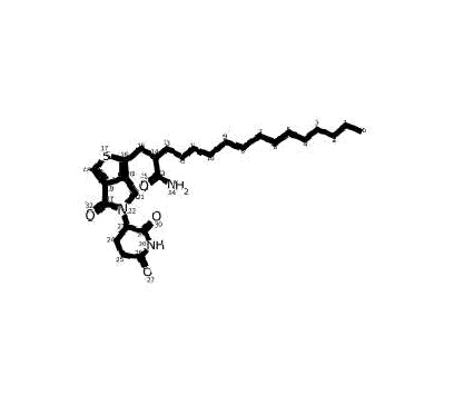 CCCCCCCCCCCCCCC(Cc1scc2c1CN(C1CCC(=O)NC1=O)C2=O)C(N)=O